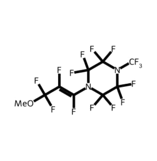 COC(F)(F)C(F)=C(F)N1C(F)(F)C(F)(F)N(C(F)(F)F)C(F)(F)C1(F)F